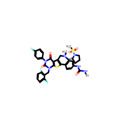 CCNC(=O)Nc1ccc(-c2sc3c(c2CN(C)C[C@@H]2CCCN2S(C)(=O)=O)c(=O)n(-c2ccc(F)cc2)c(=O)n3Cc2c(F)cccc2F)cc1